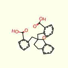 O=C(O)c1ccccc1CC1(Cc2ccccc2C(=O)O)CCc2ccccc2C1=O